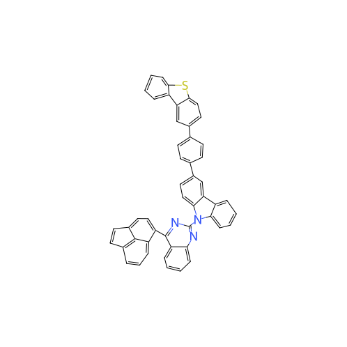 C1=Cc2ccc(-c3nc(-n4c5ccccc5c5cc(-c6ccc(-c7ccc8sc9ccccc9c8c7)cc6)ccc54)nc4ccccc34)c3cccc1c23